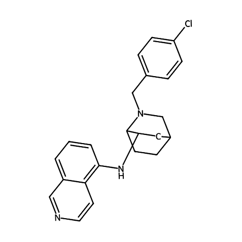 Clc1ccc(CN2CC3CCC2C(Nc2cccc4cnccc24)C3)cc1